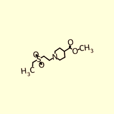 CCS(=O)(=O)CCN1CCC(C(=O)OC)CC1